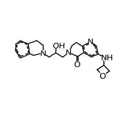 O=C1c2cc(NC3COC3)cnc2CCN1CC(O)CN1CCc2ccccc2C1